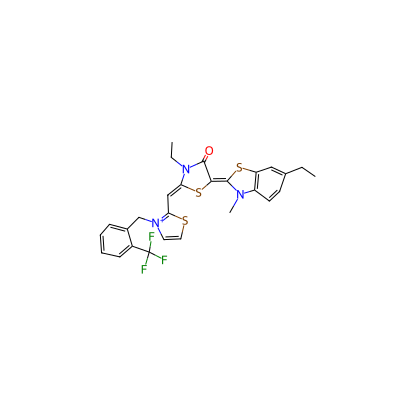 CCc1ccc2c(c1)S/C(=c1/s/c(=C\c3scc[n+]3Cc3ccccc3C(F)(F)F)n(CC)c1=O)N2C